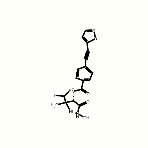 CC(N)(C(F)F)[C@H](NC(=O)c1ccc(C#Cc2ccno2)cc1)C(=O)NO